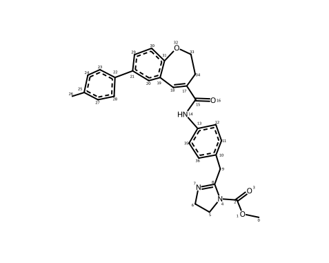 COC(=O)N1CCN=C1Cc1ccc(NC(=O)C2=Cc3cc(-c4ccc(C)cc4)ccc3OCC2)cc1